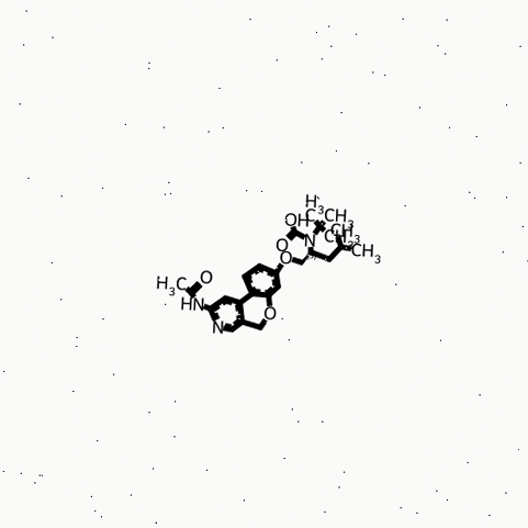 CC(=O)Nc1cc2c(cn1)COc1cc(OC[C@H](CC(C)C)N(C(=O)O)C(C)(C)C)ccc1-2